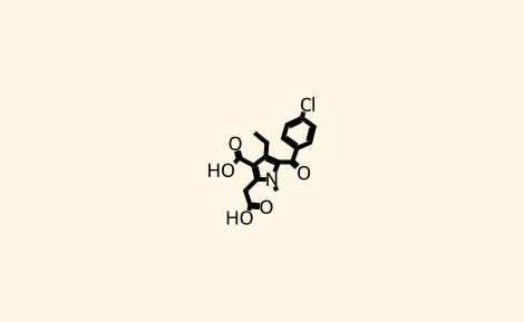 CCc1c(C(=O)O)c(CC(=O)O)n(C)c1C(=O)c1ccc(Cl)cc1